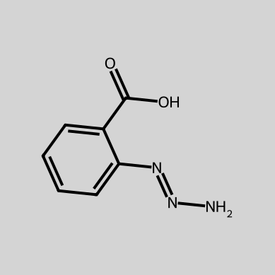 NN=Nc1ccccc1C(=O)O